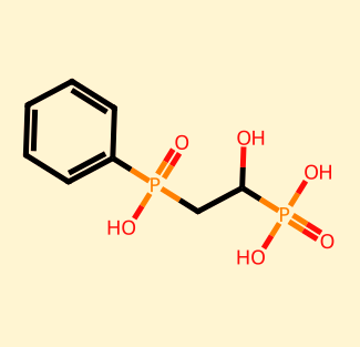 O=P(O)(CC(O)P(=O)(O)O)c1ccccc1